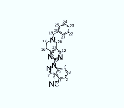 N#Cc1cccc2c1cnn2-c1ncc2c(n1)CCN(Cc1ccccc1)C2